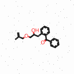 C=C(C)COCC(O)Cc1ccccc1C(=O)c1ccccc1